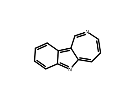 c1cncc2c3ccccc3nc-2c1